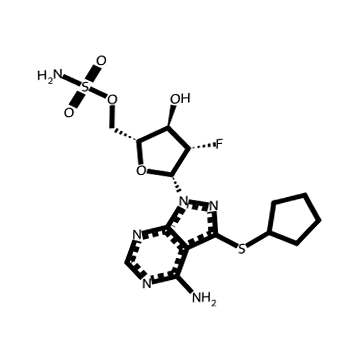 Nc1ncnc2c1c(SC1CCCC1)nn2[C@@H]1O[C@H](COS(N)(=O)=O)[C@@H](O)[C@@H]1F